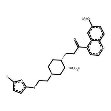 COc1ccc2nccc(C(=O)CC[C@H]3CCN(CCSc4ccc(F)s4)C[C@H]3C(=O)O)c2c1